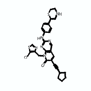 O=c1c(C#CC2CCCC2)cc2cnc(Nc3ccc(C4CNCCS4)cc3)nc2n1Cc1ncsc1Cl